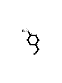 CC(C)COC1CCC(CBr)CC1